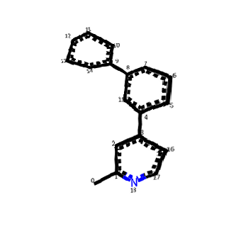 Cc1cc(-c2cccc(-c3ccccc3)c2)ccn1